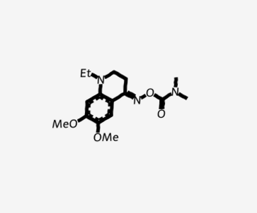 CCN1CC/C(=N\OC(=O)N(C)C)c2cc(OC)c(OC)cc21